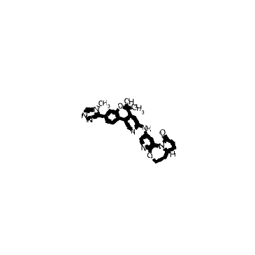 Cn1cnnc1-c1ccc2c(c1)OC(C)(C)c1cc(Nc3cnc4c(c3)N3C(=O)CC[C@H]3CCO4)ncc1-2